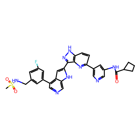 CS(=O)(=O)NCc1cc(F)cc(-c2cncc3[nH]c(-c4n[nH]c5ccc(-c6cncc(NC(=O)C7CCC7)c6)nc45)cc23)c1